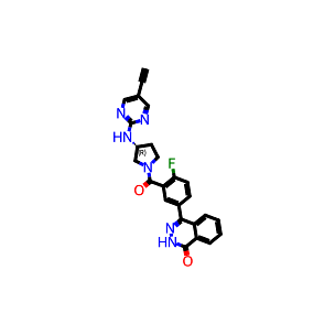 C#Cc1cnc(N[C@@H]2CCN(C(=O)c3cc(-c4n[nH]c(=O)c5ccccc45)ccc3F)C2)nc1